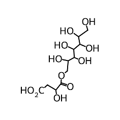 O=C(O)CC(O)C(=O)OCC(O)C(O)C(O)C(O)C(O)CO